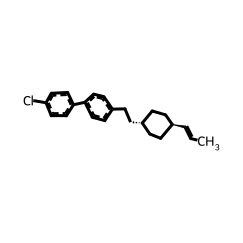 CC=C[C@H]1CC[C@H](CCc2ccc(-c3ccc(Cl)cc3)cc2)CC1